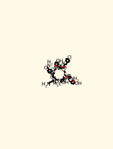 C[C@@H](O)[C@@H]1NC(=O)[C@H](CCCCN)NC(=O)[C@@H](Cc2ccc(C(N)=O)cc2)NC(=O)[C@H](Cc2ccc(O)cc2)NC(=O)[C@@H](NC(=O)[C@@H](N)Cc2ccc(Cl)cc2)CC=CC[C@@H](C(=O)N[C@H](Cc2ccc(O)cc2)C(N)=O)NC1=O